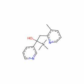 Cc1cccnc1[CH]C(O)(c1cccnc1)[Si](C)(C)C